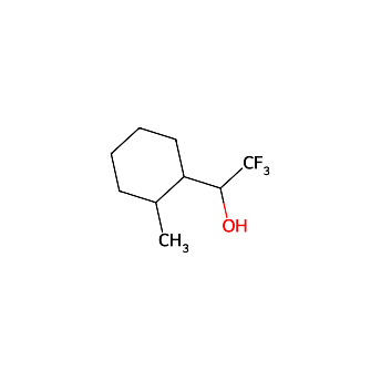 CC1CCCCC1C(O)C(F)(F)F